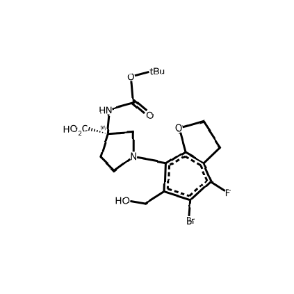 CC(C)(C)OC(=O)N[C@]1(C(=O)O)CCN(c2c(CO)c(Br)c(F)c3c2OCC3)C1